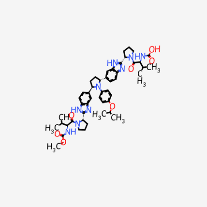 COC(=O)N[C@H](C(=O)N1CCC[C@H]1c1nc2cc([C@H]3CC[C@H](c4ccc5nc([C@@H]6CCCN6C(=O)[C@@H](NC(=O)O)C(C)C)[nH]c5c4)N3c3ccc(OC(C)C)cc3)ccc2[nH]1)C(C)C